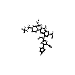 CCN(c1nc(-c2ccc(F)cc2)c(C#N)s1)c1cc(C(C)C)nc2c(F)cc(N3CCN(C(=O)OC(C)(C)C)CC3C(=O)OC)cc12